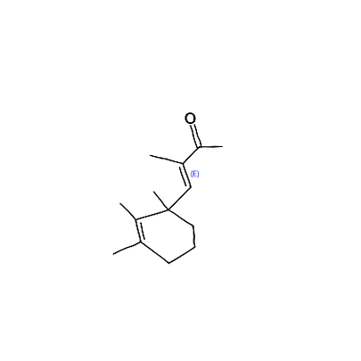 CC(=O)/C(C)=C/C1(C)CCCC(C)=C1C